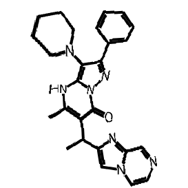 Cc1[nH]c2c(N3CCCCC3)c(-c3ccccc3)nn2c(=O)c1C(C)c1cn2ccncc2n1